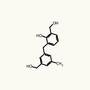 Cc1cc(CO)cc(Cc2cccc(CO)c2O)c1